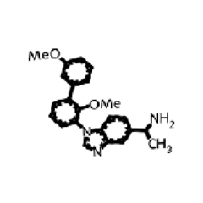 COc1cccc(-c2cccc(-n3cnc4cc(C(C)N)ccc43)c2OC)c1